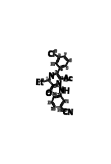 CCc1nc(-c2cccc(Cl)c2)c(C(C)=O)n(Nc2cccc(C#N)c2)c1=O